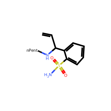 C=CC(NCCCCC)c1ccccc1S(N)(=O)=O